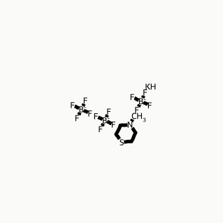 CN1CCSCC1.F[B-](F)(F)F.F[B-](F)(F)F.F[B-](F)(F)F.[KH]